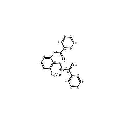 COc1cccc(SC(=O)c2ccccc2)c1CNC(=O)c1ccccc1